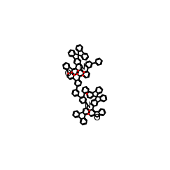 c1ccc(-c2ccc(N(c3ccc4c5ccc(-c6cccc(-c7ccc(N(c8ccc9c%10ccccc%10c%10ccccc%10c9c8)c8cc9c(cc8-c8cccc%10oc%11ccccc%11c8%10)-c8ccccc8C98c9ccccc9-c9ccccc98)cc7-c7ccccc7)c6)cc5c5ccccc5c4c3)c3cc4c(cc3-c3cccc5oc6ccccc6c35)-c3ccccc3C43c4ccccc4-c4ccccc43)c(-c3ccccc3)c2)cc1